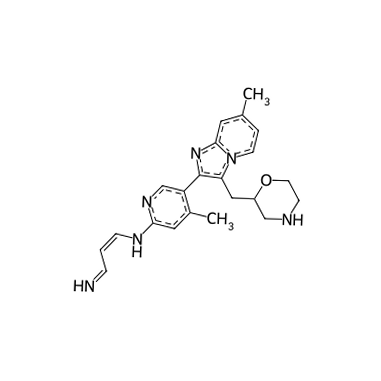 Cc1ccn2c(CC3CNCCO3)c(-c3cnc(N/C=C\C=N)cc3C)nc2c1